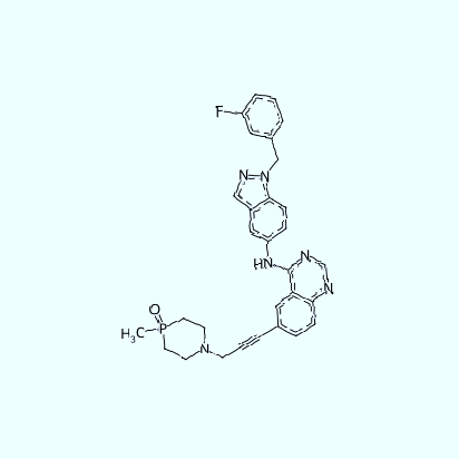 CP1(=O)CCN(CC#Cc2ccc3ncnc(Nc4ccc5c(cnn5Cc5cccc(F)c5)c4)c3c2)CC1